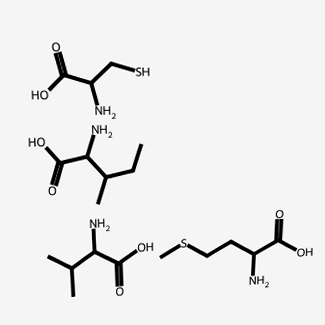 CC(C)C(N)C(=O)O.CCC(C)C(N)C(=O)O.CSCCC(N)C(=O)O.NC(CS)C(=O)O